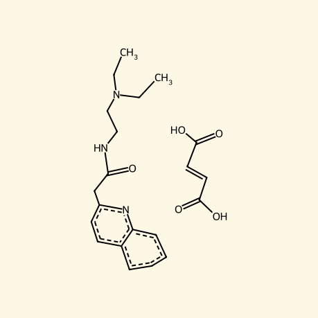 CCN(CC)CCNC(=O)Cc1ccc2ccccc2n1.O=C(O)C=CC(=O)O